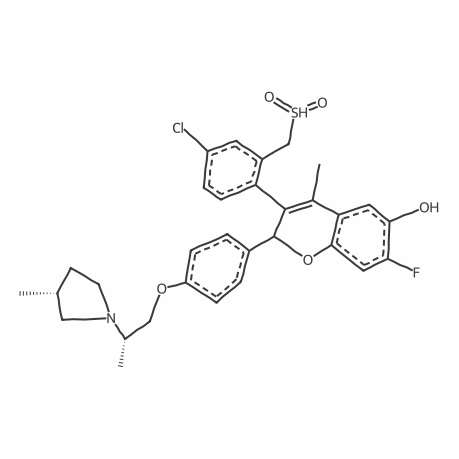 CC1=C(c2ccc(Cl)cc2C[SH](=O)=O)C(c2ccc(OC[C@H](C)N3CC[C@@H](C)C3)cc2)Oc2cc(F)c(O)cc21